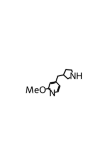 COc1cc(CC2CCNC2)ccn1